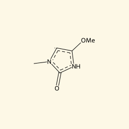 COc1[c]n(C)c(=O)[nH]1